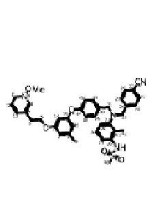 [CH]c1cc(OCCC2=CN(OC)CC=C2)cc(Oc2ccc(CN(Cc3ccc(C#N)cc3)c3cccc(NS(C)(=O)=O)c3C)cc2)c1